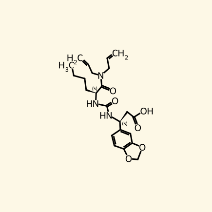 C=CCN(CC=C)C(=O)[C@H](CCCC)NC(=O)N[C@@H](CC(=O)O)c1ccc2c(c1)OCO2